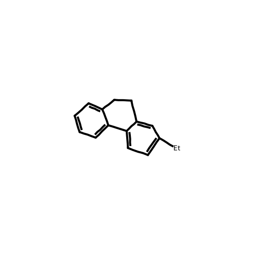 CCc1ccc2c(c1)CCc1ccccc1-2